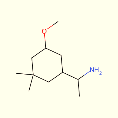 COC1CC(C(C)N)CC(C)(C)C1